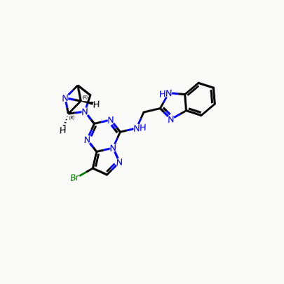 Brc1cnn2c(NCc3nc4ccccc4[nH]3)nc(N3CC4[C@@H]5[C@@H]3N45)nc12